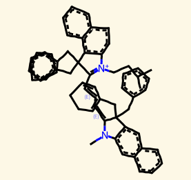 CC(C)CC[N+]1=C(/C=C/C=C2/N(C)c3cc4ccccc4cc3C2(CC2=CCCC=C2)Cc2ccccc2)C(Cc2ccccc2)(Cc2ccccc2)c2c1ccc1ccccc21